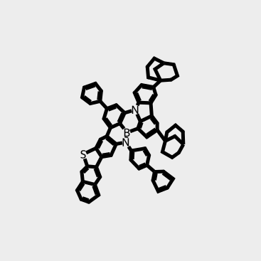 c1ccc(-c2ccc(N3B4c5c(cc(-c6ccccc6)cc5-n5c6ccc(C78CCCC(CCC7)C8)cc6c6cc(C78CCCC(CCC7)C8)cc4c65)-c4cc5sc6cc7ccccc7cc6c5cc43)cc2)cc1